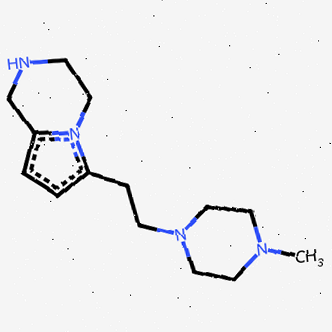 CN1CCN(CCc2ccc3n2CCNC3)CC1